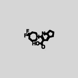 O=C(O)c1cc2c(nc1N1CCCC(F)(F)CC1)CCC2